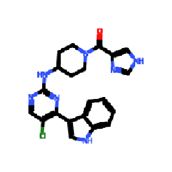 O=C(c1c[nH]cn1)N1CCC(Nc2ncc(Cl)c(-c3c[nH]c4ccccc34)n2)CC1